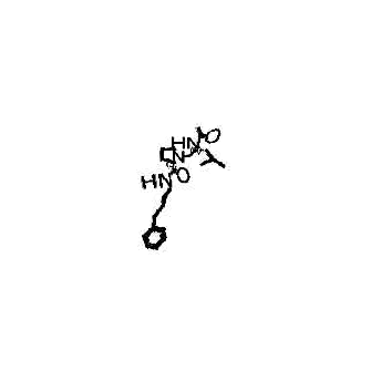 CC(=O)N[C@H](CC(C)C)CN1CCC[C@H]1C(=O)NCCCCc1ccccc1